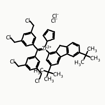 CC(C)(C)c1ccc2c(c1)-c1cc(C(C)(C)C)c[c]([Zr+2](=[C](c3cc(CCl)cc(CCl)c3)c3cc(CCl)cc(CCl)c3)[CH]3C=CC=C3)c1C2.[Cl-].[Cl-]